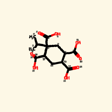 CC(C)C1(C(=O)O)CC(C(=O)O)C(C(=O)O)CC1C(=O)O